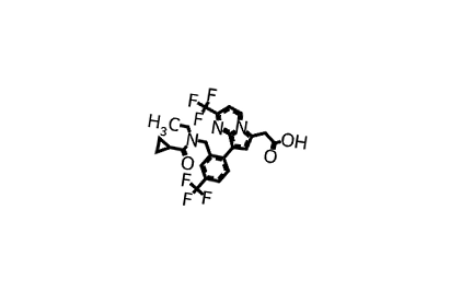 CCN(Cc1cc(C(F)(F)F)ccc1-c1cc(CC(=O)O)n2ccc(C(F)(F)F)nc12)C(=O)C1CC1